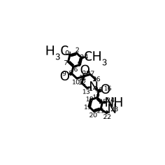 Cc1cc(C)c2c(c1)C(=O)CC1(CCN(C(=O)c3cccc4cn[nH]c34)CC1)O2